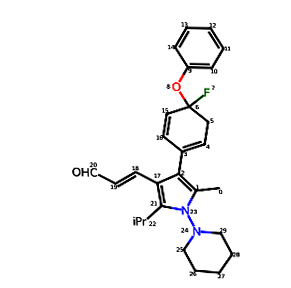 Cc1c(C2=CCC(F)(Oc3ccccc3)C=C2)c(C=CC=O)c(C(C)C)n1N1CCCCC1